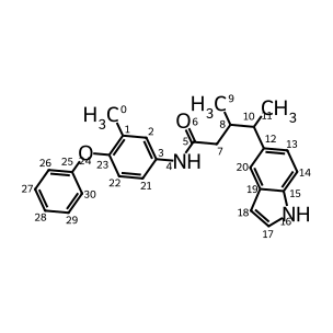 Cc1cc(NC(=O)CC(C)C(C)c2ccc3[nH]ccc3c2)ccc1Oc1ccccc1